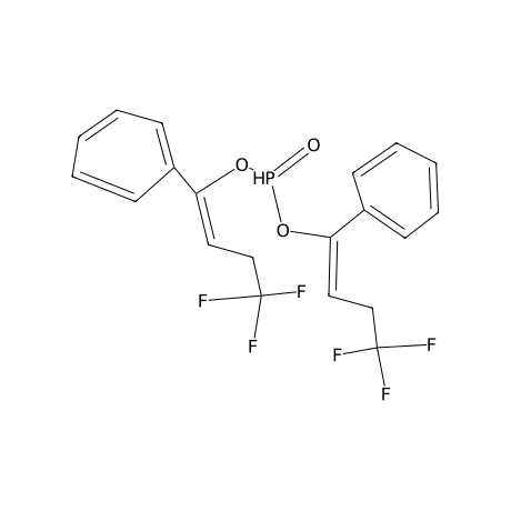 O=[PH](OC(=CCC(F)(F)F)c1ccccc1)OC(=CCC(F)(F)F)c1ccccc1